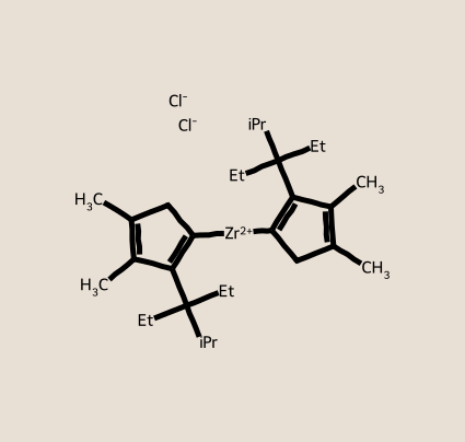 CCC(CC)(C1=[C]([Zr+2][C]2=C(C(CC)(CC)C(C)C)C(C)=C(C)C2)CC(C)=C1C)C(C)C.[Cl-].[Cl-]